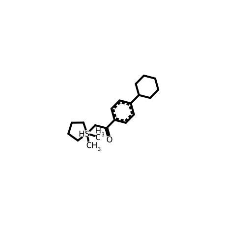 C[SH]1(C)(CC(=O)c2ccc(C3CCCCC3)cc2)CCCC1